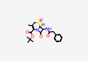 CC1=C(C(=O)OC(C)(C)C)N2C(=O)C(NC(=O)Cc3ccccc3)[C@@H]2[S+]([O-])C1